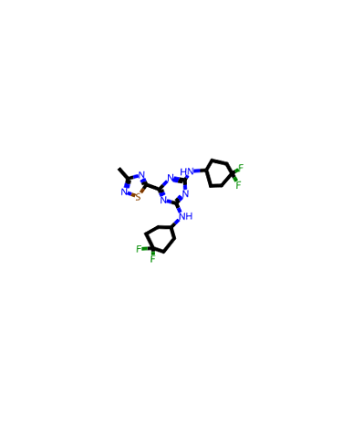 Cc1nsc(-c2nc(NC3CCC(F)(F)CC3)nc(NC3CCC(F)(F)CC3)n2)n1